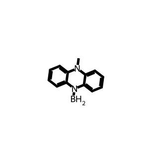 BN1c2ccccc2N(C)c2ccccc21